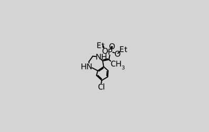 CCOP(=O)(OCC)C(C)=C1NCCNc2cc(Cl)ccc21